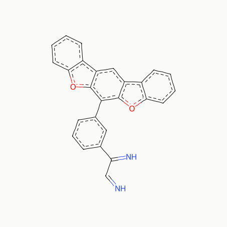 N=CC(=N)c1cccc(-c2c3oc4ccccc4c3cc3c2oc2ccccc23)c1